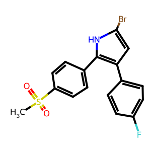 CS(=O)(=O)c1ccc(-c2[nH]c(Br)cc2-c2ccc(F)cc2)cc1